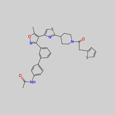 CC(=O)Nc1ccc(-c2cccc(-c3noc(C)c3-c3csc(C4CCN(C(=O)Cc5cccs5)CC4)n3)c2)cc1